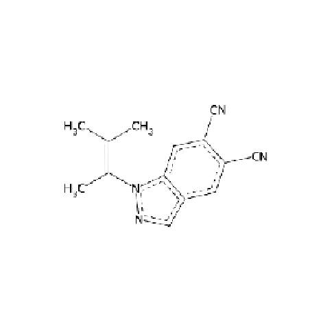 CC(C)=C(C)n1ncc2cc(C#N)c(C#N)cc21